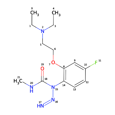 CCN(CC)CCOc1cc(F)ccc1N(N=N)C(=O)NC